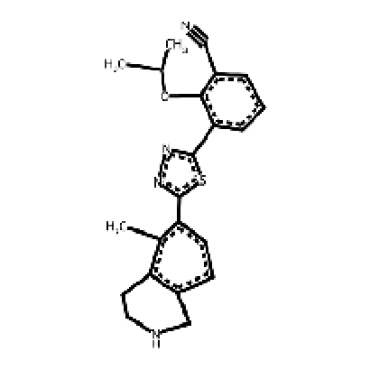 Cc1c(-c2nnc(-c3cccc(C#N)c3OC(C)C)s2)ccc2c1CCNC2